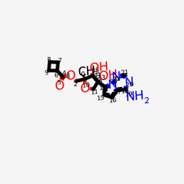 C[C@]1(COC(=O)C2CCC2)OCC(O)(c2ccc3c(N)ncnn23)[C@@H]1O